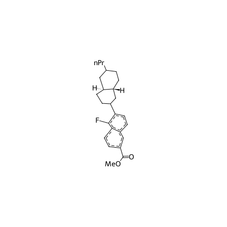 CCCC1CC[C@@H]2CC(c3ccc4cc(C(=O)OC)ccc4c3F)CC[C@H]2C1